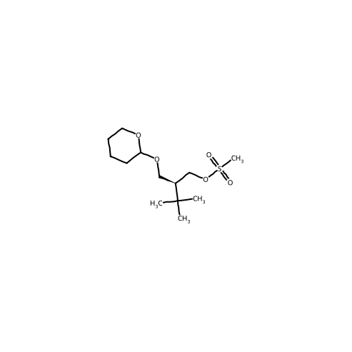 CC(C)(C)[C@@H](COC1CCCCO1)COS(C)(=O)=O